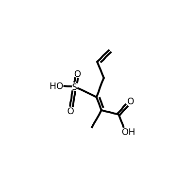 C=CC/C(=C(/C)C(=O)O)S(=O)(=O)O